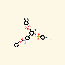 Cc1ccc(S(=O)(=O)OCc2cc(-c3ccc(NC(=O)OCc4ccccc4)cc3)cc(COS(=O)(=O)c3ccc(C)cc3)c2C)cc1